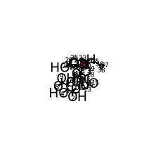 O=C(O)C(O)C(O)C(=O)O.O=C1CCC(=O)N1[C@@H]1CC[C@@]2(O)[C@H]3Cc4ccc(O)c5c4[C@@]2(CCN3CC2CC2)[C@H]1O5